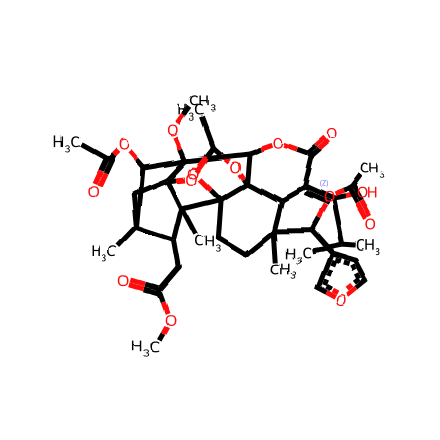 COC(=O)CC1C2(C)CC34OC5(C)OC67C(/C(=C(/O)C(C)C)C(=O)OC6C3(OC)C2OC(C)=O)C(C)(C(OC(C)=O)c2ccoc2)CCC7(O5)C14C